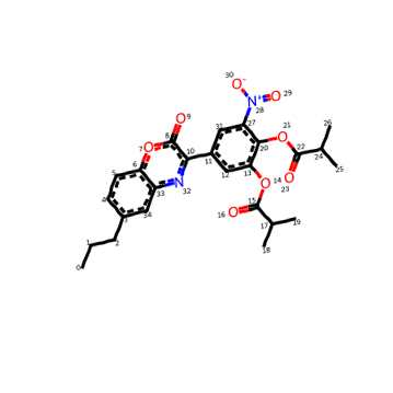 CCCc1ccc2oc(=O)c(-c3cc(OC(=O)C(C)C)c(OC(=O)C(C)C)c([N+](=O)[O-])c3)nc2c1